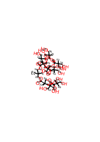 CCC(COC(=O)C(C)(COC(=O)C(C)(CO)CO)COC(=O)C(C)(CO)CO)(COC(=O)C(C)(COC(=O)C(C)(CO)CO)COC(=O)C(C)(CO)CO)COC(=O)C(C)(COC(=O)C(C)(CO)CO)COC(=O)C(C)(CO)CO